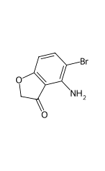 Nc1c(Br)ccc2c1C(=O)CO2